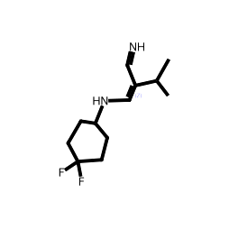 CC(C)/C(C=N)=C/NC1CCC(F)(F)CC1